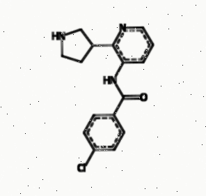 O=C(Nc1cccnc1C1CCNC1)c1ccc(Cl)cc1